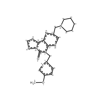 COc1ccc(Cn2c(=O)n3ncnc3c3nc(CN4CCCCC4)cnc32)cc1